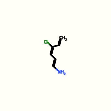 C=C/C(Cl)=C\C=C\N